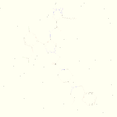 CNc1[nH]ncc1C(=O)Nc1cn(CC(=O)N2CCC(N(CCC(F)(F)F)Cc3ccccc3)CC2)nc1-c1cc(Cl)ccc1OC(F)F